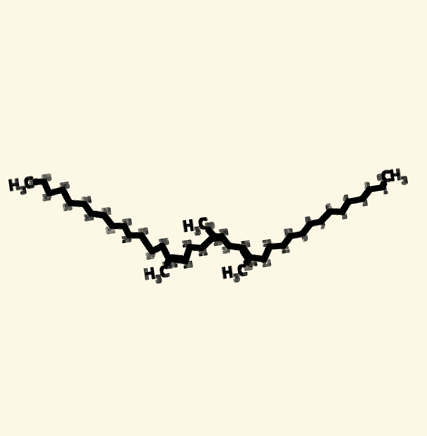 CCCCCCCCCCCCCCC(C)=CCC=C(C)CCC=C(C)CCCCCCCCCCCCCC